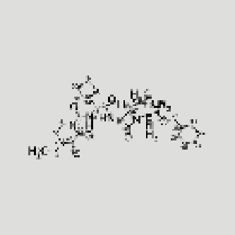 CCN1CCN(C(=O)NC(C(=O)N[C@H]2C(=O)N3[C@@H]2SC(C)(C)[C@]3(N)C(=O)OCc2ccccc2)c2cccs2)C(=O)C1=O